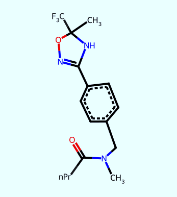 CCCC(=O)N(C)Cc1ccc(C2=NOC(C)(C(F)(F)F)N2)cc1